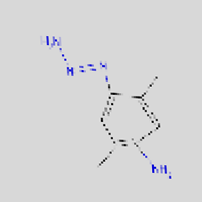 Cc1cc(N=NN)c(C)cc1N